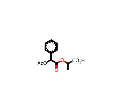 CC(=O)OC(C(=O)OC(C)C(=O)O)c1ccccc1